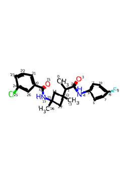 CC(C(=O)Nc1ccc(F)cc1)C1(C)CC(C)(NC(=O)c2cccc(Cl)c2)C1